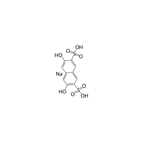 O=S(=O)(O)c1cc2cc(S(=O)(=O)O)c(O)cc2cc1O.[Na]